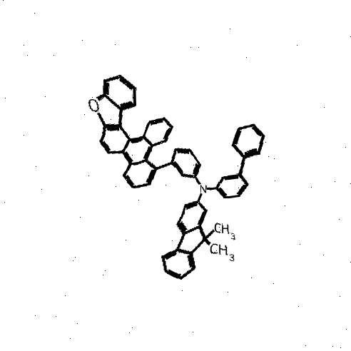 CC1(C)c2ccccc2-c2ccc(N(c3cccc(-c4ccccc4)c3)c3cccc(-c4cccc5c6ccc7oc8ccccc8c7c6c6ccccc6c45)c3)cc21